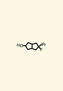 CC(C)C1(F)CC2CC(O)CC2C1